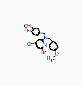 COc1ccc(CN(Cc2ccc(OC)cc2)c2cc(Cl)cc(Br)n2)cc1